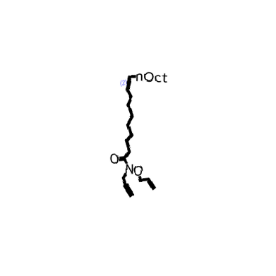 C#CCN(OCC=C)C(=O)CCCCCCC/C=C\CCCCCCCC